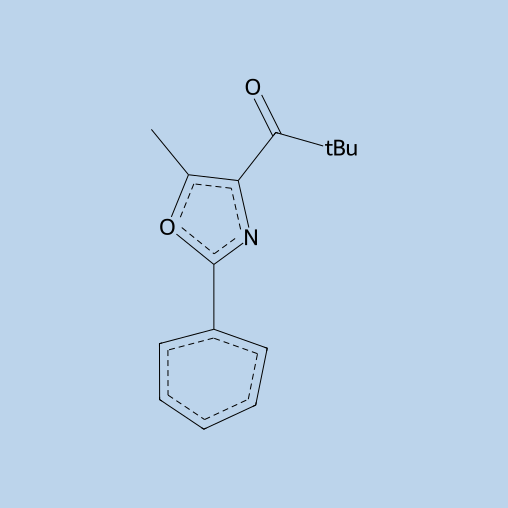 Cc1oc(-c2ccccc2)nc1C(=O)C(C)(C)C